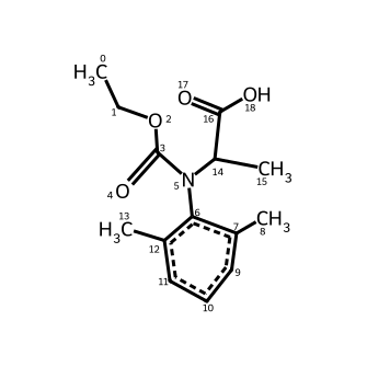 CCOC(=O)N(c1c(C)cccc1C)C(C)C(=O)O